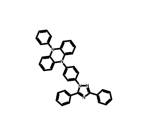 c1ccc(-c2nc(-c3ccccc3)n(-c3ccc(N4c5ccccc5N(c5ccccc5)c5ccccc54)cc3)n2)cc1